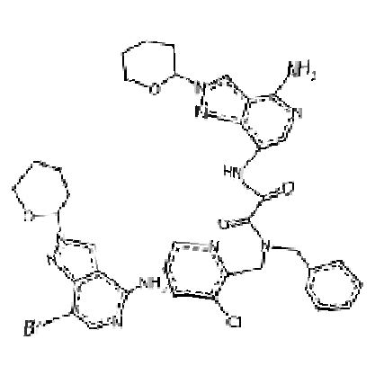 Nc1ncc(Br)c2nn(C3CCCCO3)cc12.Nc1ncc(NC(=O)C(=O)N(Cc2ccccc2)Cc2ncccc2Cl)c2nn(C3CCCCO3)cc12